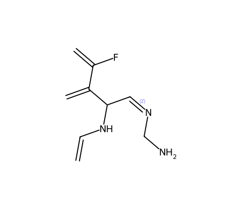 C=CNC(/C=N\CN)C(=C)C(=C)F